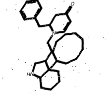 O=C1C=CN(CCC2CNC3CCCCC23C2CCCCCCCC2)C(Cc2ccccc2)C1